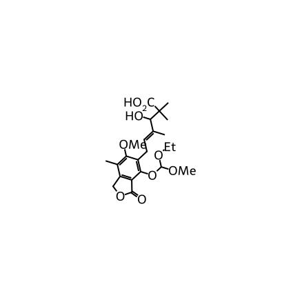 CCOC(OC)Oc1c(CC=C(C)C(O)C(C)(C)C(=O)O)c(OC)c(C)c2c1C(=O)OC2